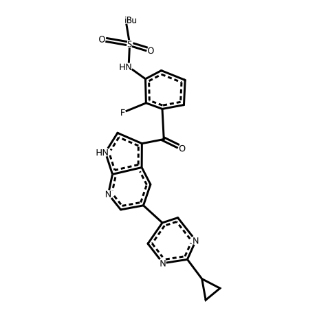 CCC(C)S(=O)(=O)Nc1cccc(C(=O)c2c[nH]c3ncc(-c4cnc(C5CC5)nc4)cc23)c1F